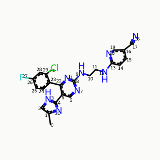 Cc1c[nH]c(-c2cnc(NCCNc3ccc(C#N)cn3)nc2-c2ccc(F)cc2Cl)n1